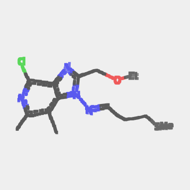 CCOCc1nc2c(Cl)nc(C)c(C)c2n1/N=C/CCSC